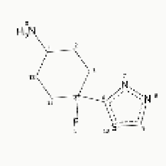 NC1CCC(F)(c2nncs2)CC1